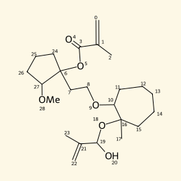 C=C(C)C(=O)OC1(CCOC2CCCCCC2(C)OC(O)C(=C)C)CCCC1OC